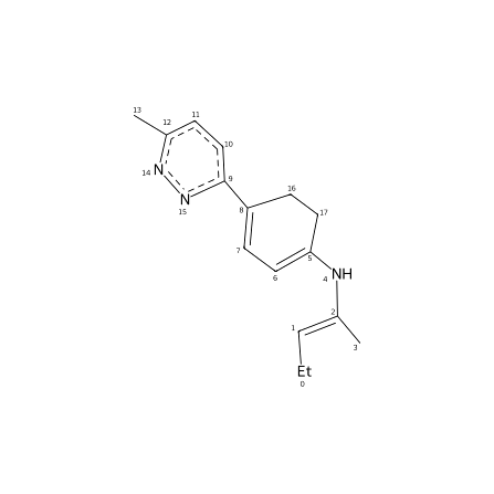 CCC=C(C)NC1=CC=C(c2ccc(C)nn2)CC1